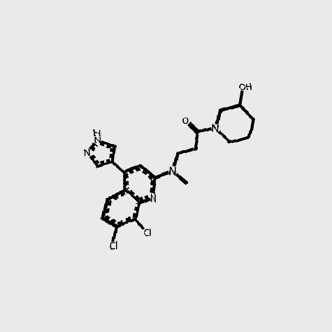 CN(CCC(=O)N1CCCC(O)C1)c1cc(-c2cn[nH]c2)c2ccc(Cl)c(Cl)c2n1